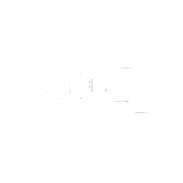 COCP(=O)(N[C@@H](C)C(=O)OC(C)C)Oc1ccc(CCO)cc1